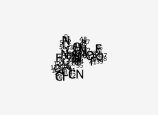 CN1CC=C(c2nc3c(F)c(-c4cccc(Cl)c4Cl)c(CCC#N)cc3c3c2cc(C2CC(OCc4c(F)cccc4F)CN2C(=O)C2CC2)n3C2C3CNC2C3)CC1